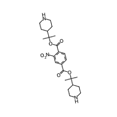 CC(C)(OC(=O)c1ccc(C(=O)OC(C)(C)C2CCNCC2)c([N+](=O)[O-])c1)C1CCNCC1